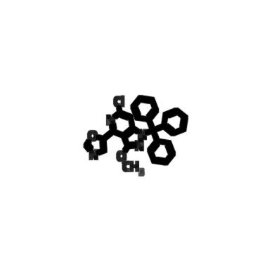 COc1nn(C(c2ccccc2)(c2ccccc2)c2ccccc2)c2cc(Cl)nc(-c3cnco3)c12